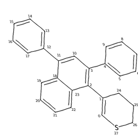 C1=C(c2c(-c3ccccc3)cc(-c3ccccc3)c3ccccc23)CCCS1